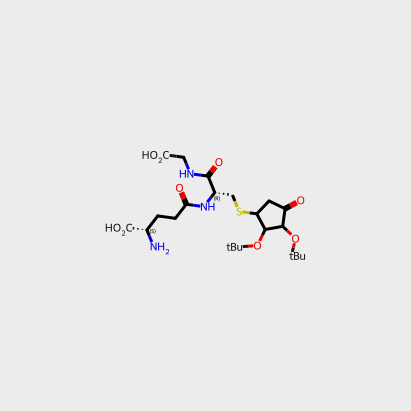 CC(C)(C)OC1C(=O)CC(SC[C@H](NC(=O)CC[C@H](N)C(=O)O)C(=O)NCC(=O)O)C1OC(C)(C)C